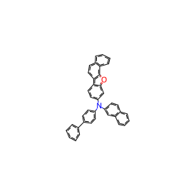 c1ccc(-c2ccc(N(c3ccc4ccccc4c3)c3ccc4c(c3)oc3c5ccccc5ccc43)cc2)cc1